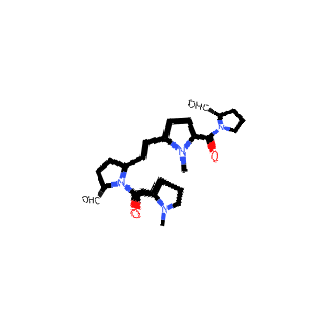 CN1CCCC1C(=O)N1C(C=O)CCC1CCC1CCC(C(=O)N2CCCC2C=O)N1C